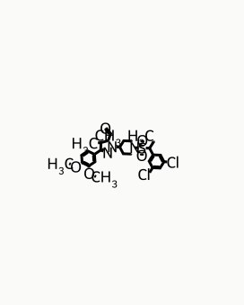 C=CC(c1cc(Cl)cc(Cl)c1)S(=O)(=O)N1CCC(N2N=C(c3ccc(OC)c(OC)c3)C(C)(C)C2C=O)CC1